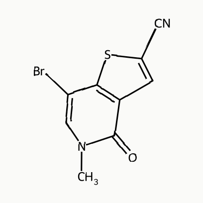 Cn1cc(Br)c2sc(C#N)cc2c1=O